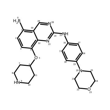 Bc1ccc(OC2CCNCC2)c2nc(Nc3ccc(N4CCOCC4)cc3)ncc12